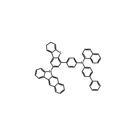 C1=c2sc3c(-c4ccc(N(c5ccc(-c6ccccc6)cc5)c5cccc6ccccc56)cc4)cc(-n4c5ccccc5c5cc6ccccc6cc54)cc3c2=CCC1